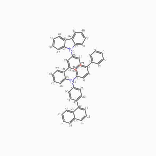 c1ccc(-c2ccc(N(c3ccc(-c4cccc5ccccc45)cc3)c3ccccc3-c3cccc(-n4c5ccccc5c5ccccc54)c3)cc2)cc1